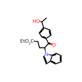 CCOC(=O)CCC(C(=O)c1ccc(C(C)O)cc1)n1ccc2ccccc21